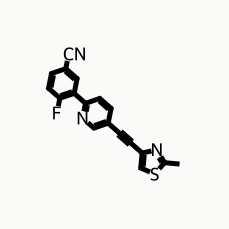 Cc1nc(C#Cc2ccc(-c3cc(C#N)ccc3F)nc2)cs1